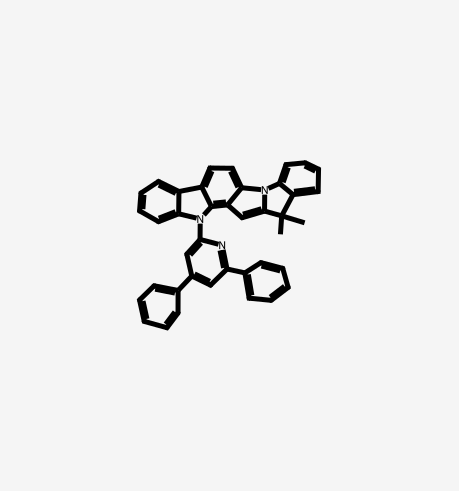 CC1(C)c2ccccc2-n2c1cc1c2ccc2c3ccccc3n(-c3cc(-c4ccccc4)cc(-c4ccccc4)n3)c21